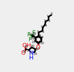 CCCCCCCCc1ccc(O[C@H]2CN[C@@H](C(=O)O)C2)cc1C(F)(F)F